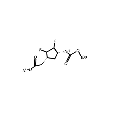 COC(=O)C[C@H]1C[C@@H](NC(=O)OC(C)(C)C)C(F)C1F